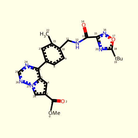 COC(=O)c1cc2c(-c3ccc(CNC(=O)c4noc(C(C)(C)C)n4)c(C)c3)ncnn2c1